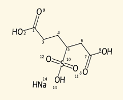 O=C(O)CCC(CC(=O)O)S(=O)(=O)O.[NaH]